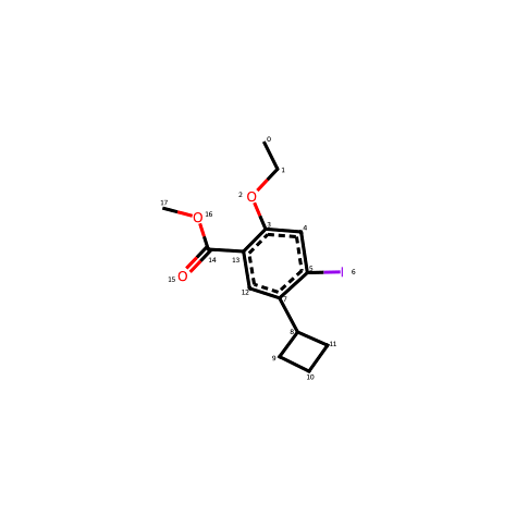 CCOc1cc(I)c(C2CCC2)cc1C(=O)OC